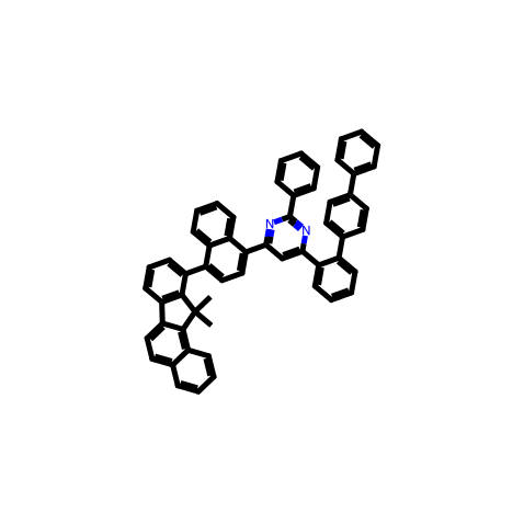 CC1(C)c2c(cccc2-c2ccc(-c3cc(-c4ccccc4-c4ccc(-c5ccccc5)cc4)nc(-c4ccccc4)n3)c3ccccc23)-c2ccc3ccccc3c21